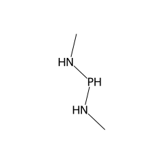 CNPNC